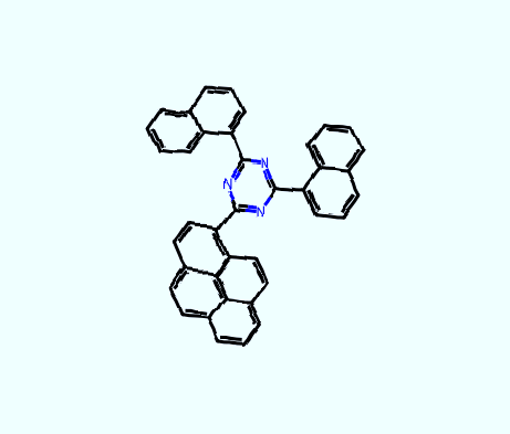 c1ccc2c(-c3nc(-c4cccc5ccccc45)nc(-c4ccc5ccc6cccc7ccc4c5c67)n3)cccc2c1